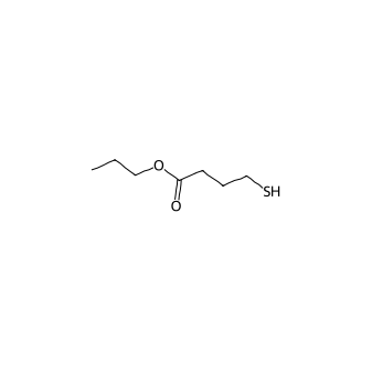 CCCOC(=O)CCCS